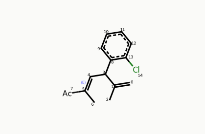 C=C(C)C(/C=C(\C)C(C)=O)c1ccccc1Cl